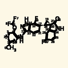 Cc1ncc(OC(F)F)c(Nc2n[nH]c3c(F)c([C@@H]4C[C@@]45C(=O)Nc4ccc(F)cc45)ccc23)n1